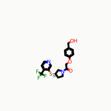 O=C(COc1ccc(CO)cc1)N1CC[C@H](Sc2cnccc2C(F)(F)F)C1